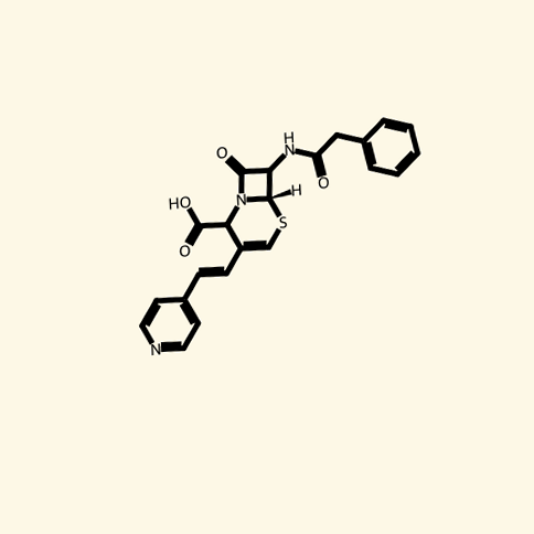 O=C(Cc1ccccc1)NC1C(=O)N2C(C(=O)O)C(C=Cc3ccncc3)=CS[C@@H]12